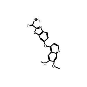 COc1cc2nccc(Oc3ccc4nc(C(N)=O)sc4c3)c2cc1OC